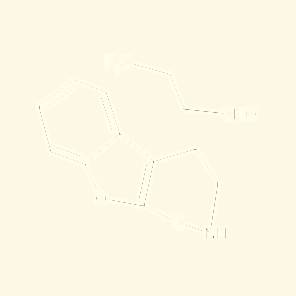 O=CCCC(F)(F)F.c1ccc2c3c(oc2c1)CNCC3